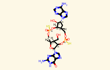 Nc1nc2c(ncn2[C@@H]2O[C@@H]3CO[P@@](=O)(S)O[C@@H]4[C@@H](CO[P@@](=O)(S)O[C@@H]2[C@@H]3CO)C[C@@H](n2cnc3c(N)ncnc32)[C@@H]4O)c(=O)[nH]1